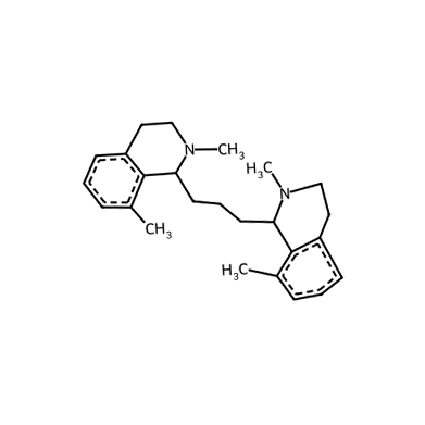 Cc1cccc2c1C(CCCC1c3c(C)cccc3CCN1C)N(C)CC2